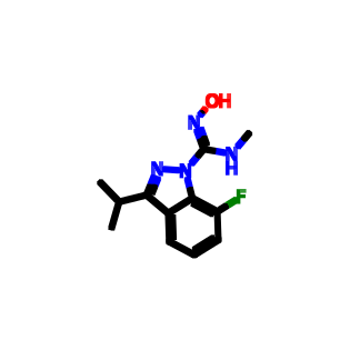 CN/C(=N\O)n1nc(C(C)C)c2cccc(F)c21